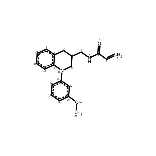 C=CC(=O)NCC1Cc2ccccc2N(c2cccc(OC)c2)C1